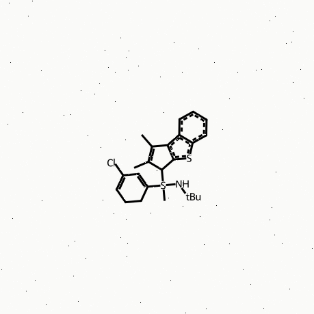 CC1=C(C)C(S(C)(NC(C)(C)C)C2=CC(Cl)=CCC2)c2sc3ccccc3c21